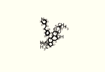 CC1(C)COC2(CCC3=C4C(CCC3(O)C2)C2CC[C@](C)(O)[C@@]2(C)C[C@@H]4c2ccc(CCc3ccncc3)cc2)OC1